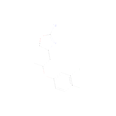 CC(CC1COC(N)=N1)Oc1ccc(F)c(Cl)c1